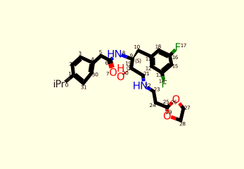 CC(C)c1ccc(CC(=O)N[C@@H](Cc2cc(F)cc(F)c2)[C@@H](O)CNCCC2OCCO2)cc1